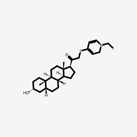 C[C@]12CC[C@@H](O)C[C@H]1CC[C@@H]1[C@@H]2CC[C@]2(C)[C@@H](C(=O)CSC3=CCN(CI)C=C3)CC[C@@H]12